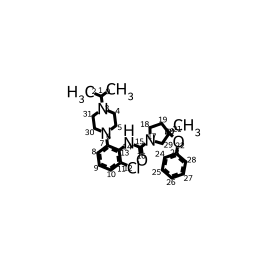 CC(C)N1CCN(c2cccc(Cl)c2NC(=O)N2CC[C@@](C)(Oc3ccccc3)C2)CC1